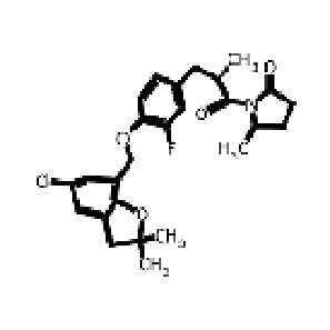 CC1CCC(=O)N1C(=O)[C@H](C)Cc1ccc(OCc2cc(Cl)cc3c2OC(C)(C)C3)c(F)c1